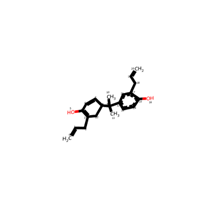 C=CCC1=C(O)C=CC(C(C)(C)c2ccc(O)c(CC=C)c2)C1